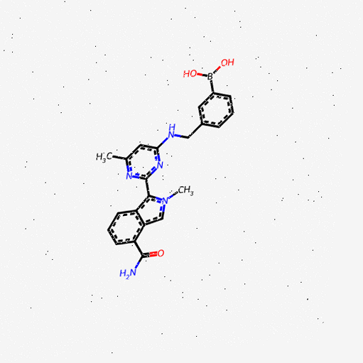 Cc1cc(NCc2cccc(B(O)O)c2)nc(-c2c3cccc(C(N)=O)c3cn2C)n1